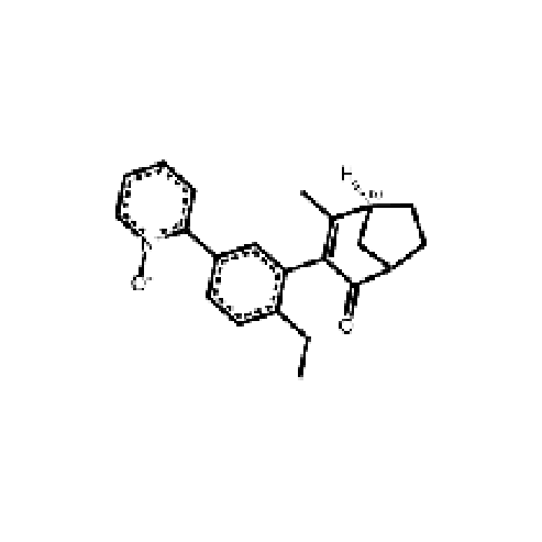 CCc1ccc(-c2cccc[n+]2[O-])cc1C1=C(C)[C@H]2CCC(C2)C1=O